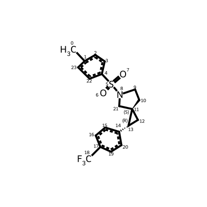 Cc1ccc(S(=O)(=O)N2CC[C@]3(C[C@@H]3c3ccc(C(F)(F)F)cc3)C2)cc1